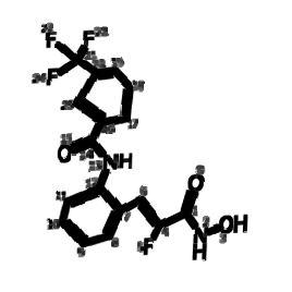 O=C(NO)C(F)=Cc1ccccc1NC(=O)c1cccc(C(F)(F)F)c1